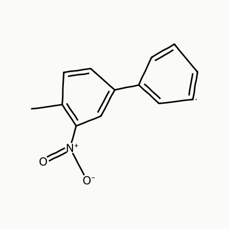 Cc1ccc(-c2c[c]ccc2)cc1[N+](=O)[O-]